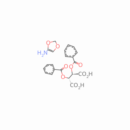 NC1=COCO1.O=C(O[C@@H](C(=O)O)[C@@H](OC(=O)c1ccccc1)C(=O)O)c1ccccc1